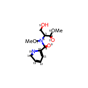 COC(=O)C(CO)N(OC)C(=O)c1ccccn1